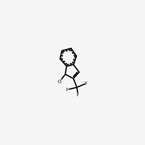 [O]C1C(C(F)(F)F)=Cc2ccccc21